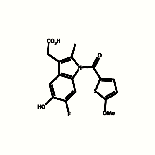 COc1ccc(C(=O)n2c(C)c(CC(=O)O)c3cc(O)c(F)cc32)s1